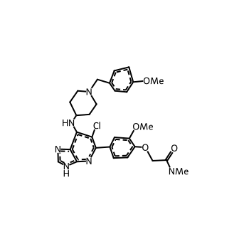 CNC(=O)COc1ccc(-c2nc3[nH]cnc3c(NC3CCN(Cc4ccc(OC)cc4)CC3)c2Cl)cc1OC